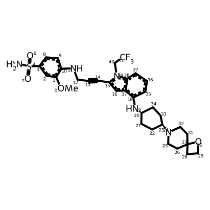 COc1cc(S(N)(=O)=O)ccc1NCC#Cc1cc2c(N[C@H]3CC[C@H](N4CCC5(CCO5)CC4)CC3)cccc2n1CC(F)(F)F